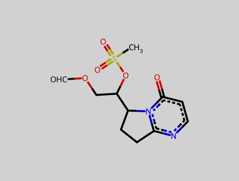 CS(=O)(=O)OC(COC=O)C1CCc2nccc(=O)n21